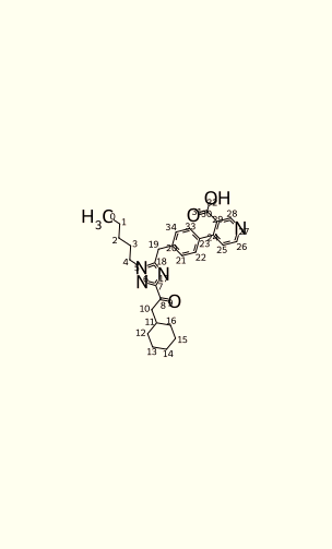 CCCCCn1nc(C(=O)CC2CCCCC2)nc1Cc1ccc(-c2ccncc2C(=O)O)cc1